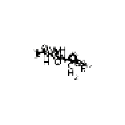 Cc1c(CNC(=O)c2ccnc(NC(=O)C3CC3)n2)cccc1OCC(F)F